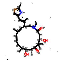 CC1=C[C@@H](C(C)=Cc2csc(C)n2)CN(C)C(=O)C[C@H](O)C(C)(C)C(=O)[C@H](C)[C@@H](O)[C@@H](C)CC=C1